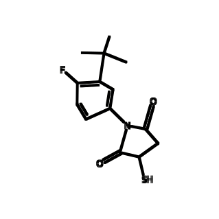 CC(C)(C)c1cc(N2C(=O)CC(S)C2=O)ccc1F